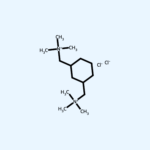 C[N+](C)(C)CC1CCCC(C[N+](C)(C)C)C1.[Cl-].[Cl-]